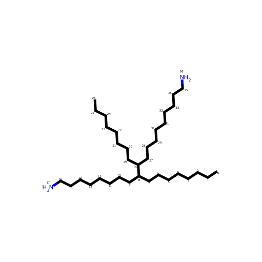 CCCCCCCCC(CCCCCCCCN)C(CCCCCCCC)CCCCCCCCCN